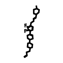 C=CCCC1CCC(C2CC=C(c3ccc(CC/C=C/C4CCC(C)CC4)c(F)c3F)CC2)CC1